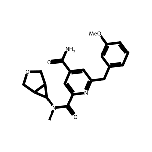 COc1cccc(Cc2cc(C(N)=O)cc(C(=O)N(C)C3C4COCC43)n2)c1